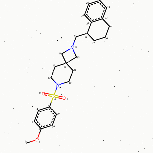 COc1ccc(S(=O)(=O)N2CCC3(CC2)CN(CC2CCCc4ccccc42)C3)cc1